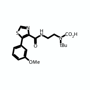 COc1cccc(-c2scnc2C(=O)NCCN(C(=O)O)C(C)(C)C)c1